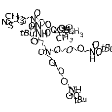 Cc1ncsc1-c1ccc(CNC(=O)[C@@H]2C[C@@H](OC(=O)OCC(C)(C)SS(C)(=O)=O)CN2C(=O)[C@@H](NC(=O)CCCC(=O)N(CCOCCOCCOCCNC(=O)OC(C)(C)C)CCOCCOCCOCCNC(=O)OC(C)(C)C)C(C)(C)C)cc1